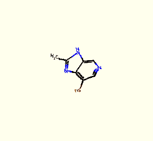 Cc1nc2c(S)cncc2[nH]1